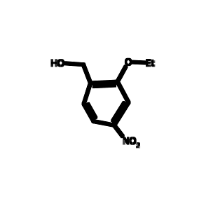 CCOc1cc([N+](=O)[O-])ccc1CO